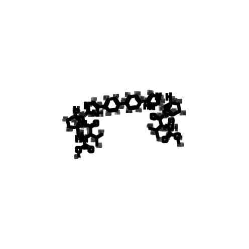 COC(=O)NC(C(=O)N1[C@@H]2CC[C@@H](C2)[C@H]1c1ncc(-c2ccc(-c3ccc(-c4cnc([C@@H]5[C@H]6CC[C@H](C6)N5C(=O)[C@@H](NC(=O)OC)C(C)C)[nH]4)cc3)cc2)[nH]1)C(C)C